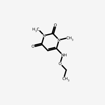 CCONc1cc(=O)n(C)c(=O)n1C